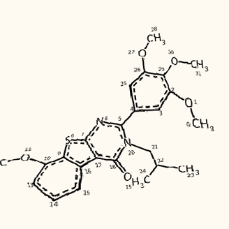 COc1cc(-c2nc3sc4c(OC)cccc4c3c(=O)n2CC(C)C)cc(OC)c1OC